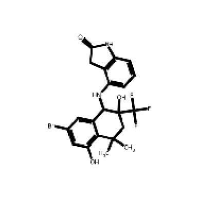 CC1(C)CC(O)(C(F)(F)F)C(Nc2cccc3c2CC(=O)N3)c2cc(Br)cc(O)c21